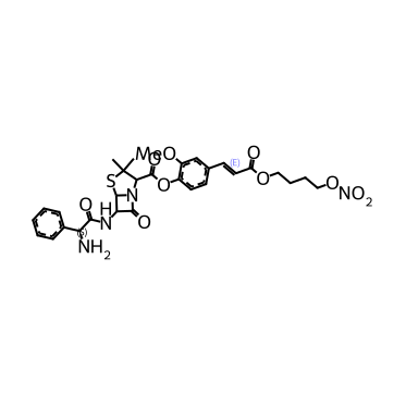 COc1cc(/C=C/C(=O)OCCCCO[N+](=O)[O-])ccc1OC(=O)C1N2C(=O)C(NC(=O)[C@@H](N)c3ccccc3)C2SC1(C)C